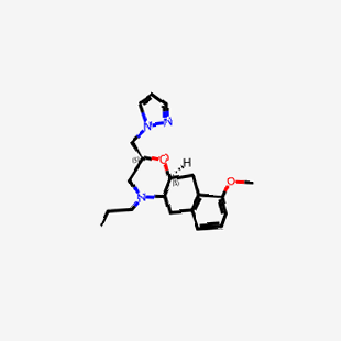 CCCN1C[C@@H](Cn2cccn2)O[C@H]2Cc3c(cccc3OC)CC21